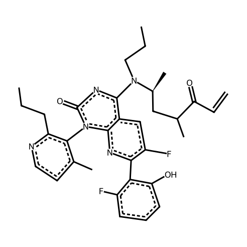 C=CC(=O)C(C)C[C@H](C)N(CCC)c1nc(=O)n(-c2c(C)ccnc2CCC)c2nc(-c3c(O)cccc3F)c(F)cc12